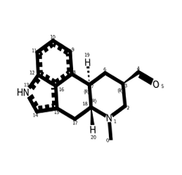 CN1C[C@H](C=O)C[C@@H]2c3cccc4[nH]cc(c34)C[C@H]21